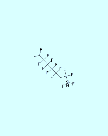 CC(F)C(F)(F)C(F)(F)C(F)(F)C(F)(F)CC(F)(F)[SiH](F)F